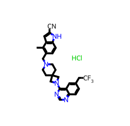 Cc1c(CN2CCC3(CC2)CN(c2ncnc4ccc(CC(F)(F)F)cc24)C3)ccc2[nH]c(C#N)cc12.Cl